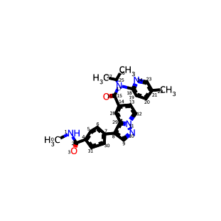 CNC(=O)c1ccc(-c2cnn3ccc(C(=O)N(c4ccc(C)cn4)C(C)C)cc23)cc1